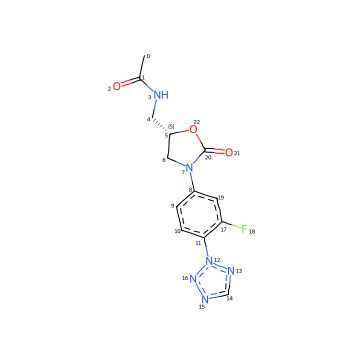 CC(=O)NC[C@H]1CN(c2ccc(-n3ncnn3)c(F)c2)C(=O)O1